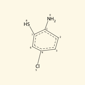 Nc1ccc(Cl)cc1S